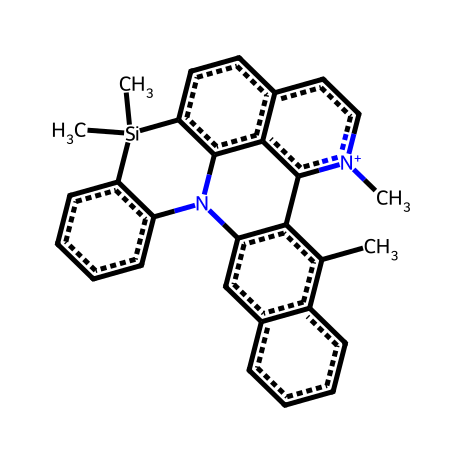 Cc1c2c(cc3ccccc13)N1c3ccccc3[Si](C)(C)c3ccc4cc[n+](C)c-2c4c31